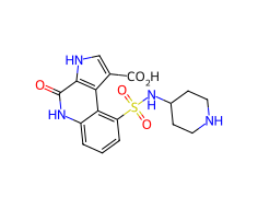 O=C(O)c1c[nH]c2c(=O)[nH]c3cccc(S(=O)(=O)NC4CCNCC4)c3c12